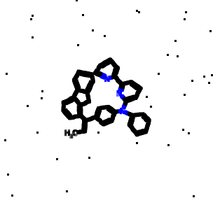 C/C=C(/c1ccc(N(c2ccccc2)c2cccc(-c3ccccn3)n2)cc1)c1cccc2c1Cc1ccccc1-2